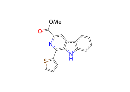 COC(=O)c1cc2c([nH]c3ccccc32)c(-c2cccs2)n1